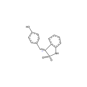 O=S1(=O)Nc2ccccc2/C1=C\c1ccc(O)cc1